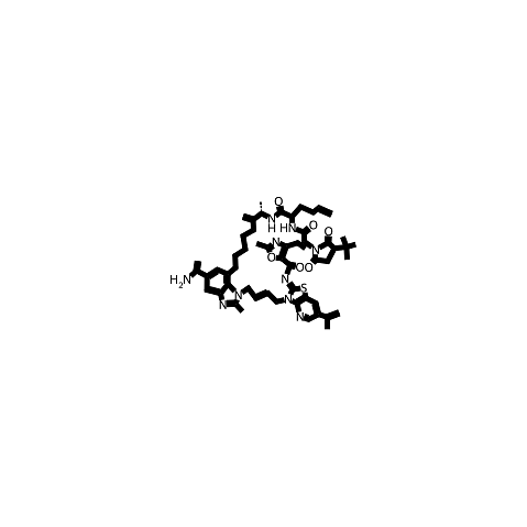 C=CCCC(NC(=O)CN1C(=O)CC(C(C)(C)C)C1=O)C(=O)N[C@@H](C)C(=C)CCCCCc1cc(C(=C)N)cc2nc(C)n(C/C=C/Cn3/c(=N/C(=O)c4oc(C)nc4CC)sc4cc(C(=C)C)cnc43)c12